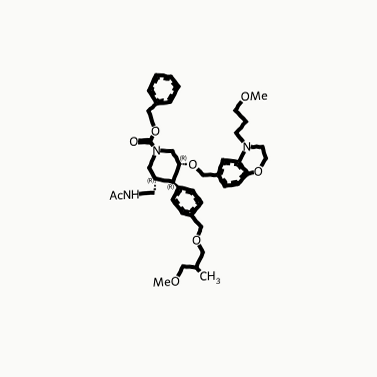 COCCCN1CCOc2ccc(CO[C@H]3CN(C(=O)OCc4ccccc4)C[C@@H](CNC(C)=O)[C@@H]3c3ccc(COCC(C)COC)cc3)cc21